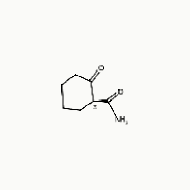 NC(=O)[C@H]1CCCCC1=O